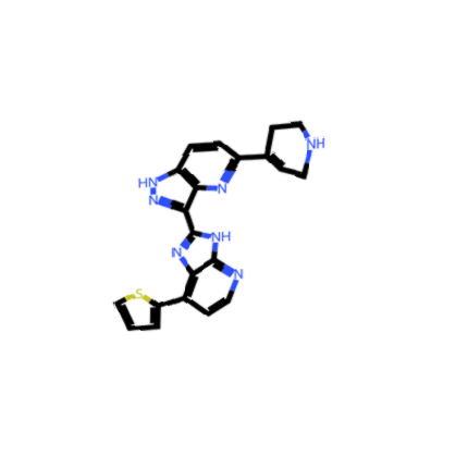 C1=C(c2ccc3[nH]nc(-c4nc5c(-c6cccs6)ccnc5[nH]4)c3n2)CCNC1